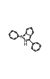 c1ccc(-c2[nH]n(-c3ccccc3)c3cccc2-3)cc1